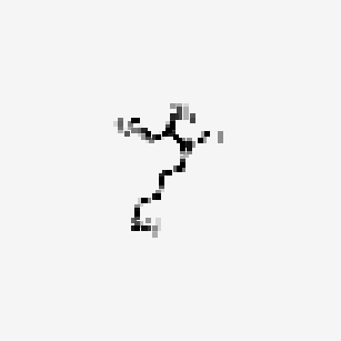 C=CC(=C)N(C)CCCCS(=O)(=O)O